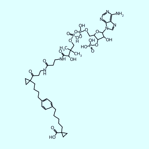 CC(C)(COP(=O)(O)OP(=O)(O)OCC1OC(n2cnc3c(N)ncnc32)C(O)C1OP(=O)(O)O)C(O)C(=O)NCCC(=O)NCCC(=O)C1(CCCCc2ccc(CCCCCC3(C(=O)O)CC3)cc2)CC1